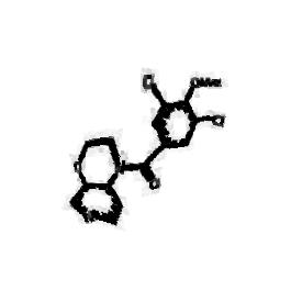 COc1c(Cl)cc(C(=O)N2CCOc3cnccc32)cc1Cl